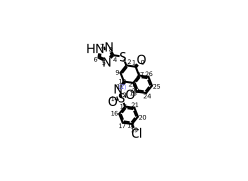 O=C1C(Sc2nc[nH]n2)=C/C(=N/S(=O)(=O)c2ccc(Cl)cc2)c2ccccc21